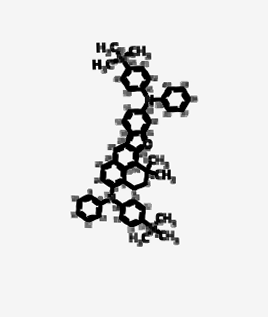 CC1(C)CCc2c(N(c3ccccc3)c3ccc([Si](C)(C)C)cc3)ccc3cc4c(oc5cc(N(c6ccccc6)c6ccc([Si](C)(C)C)cc6)ccc54)c1c23